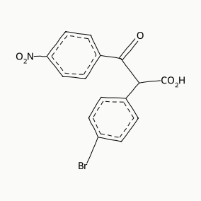 O=C(O)C(C(=O)c1ccc([N+](=O)[O-])cc1)c1ccc(Br)cc1